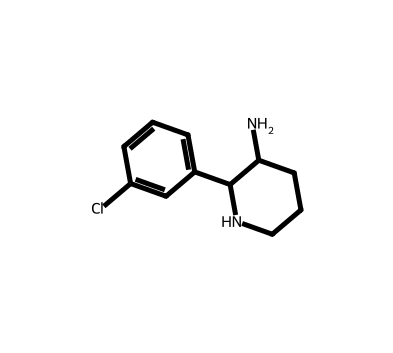 NC1CCCNC1c1cccc(Cl)c1